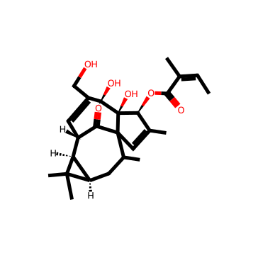 C/C=C(/C)C(=O)O[C@H]1C(C)=CC23C(=O)[C@@H](C=C(CO)[C@@H](O)[C@]12O)[C@H]1[C@@H](CC3C)C1(C)C